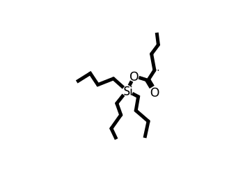 CCC[CH]C(=O)O[Si](CCCC)(CCCC)CCCC